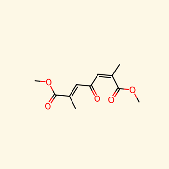 COC(=O)C(C)=CC(=O)C=C(C)C(=O)OC